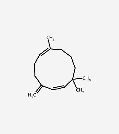 C=C1C=CC(C)(C)CCCC(C)=CCC1